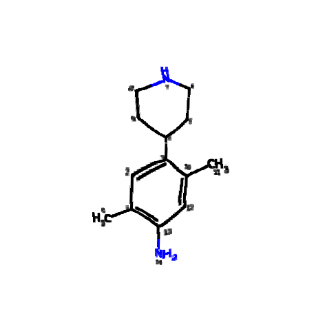 Cc1cc(C2CCNCC2)c(C)cc1N